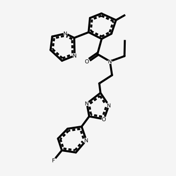 CCN(CCc1noc(-c2ccc(F)cn2)n1)C(=O)c1cc(C)ccc1-c1ncccn1